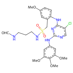 COc1ccc(Nc2nc(Nc3cc(OC)c(OC)c(OC)c3)ncc2Cl)c(CS(=O)(=O)NCCCNC=O)c1